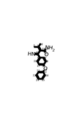 CC(C)=C(C(=N)c1ccc(Oc2ccccc2)cc1)C(N)=O